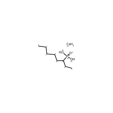 CCCCCC(CC)P(=O)(O)O.[CaH2]